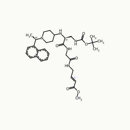 COC(=O)/C=C/CNC(=O)CNC(=O)[C@H](CNC(=O)OC(C)(C)C)NC1CCN([C@H](C)c2cccc3ccccc23)CC1